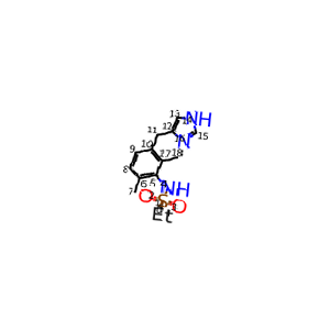 CCS(=O)(=O)Nc1c(C)ccc(Cc2c[nH]cn2)c1C